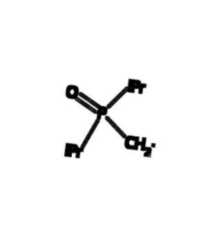 [CH2]P(=O)(C(C)C)C(C)C